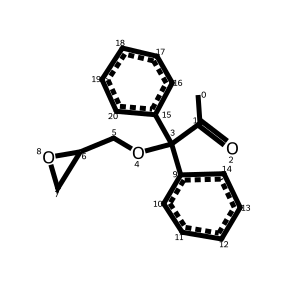 CC(=O)C(OCC1CO1)(c1ccccc1)c1ccccc1